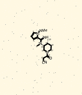 CNn1cccc1C(=N)N(C)[C@H]1CN(C(=O)CC#N)CC[C@H]1C